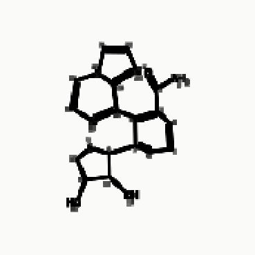 NC(=O)c1cccc(C2SCC(O)C2O)c1-c1nccn2ccnc12